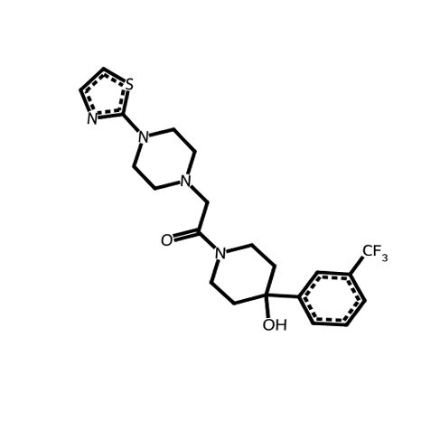 O=C(CN1CCN(c2nccs2)CC1)N1CCC(O)(c2cccc(C(F)(F)F)c2)CC1